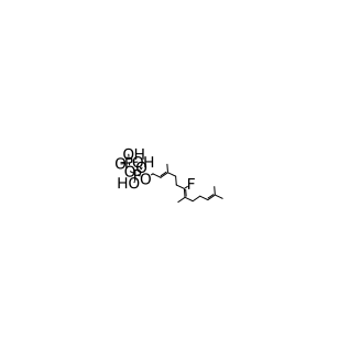 CC(C)=CCCC(C)=C(F)CCC(C)=CCOP(=O)(O)OP(=O)(O)O